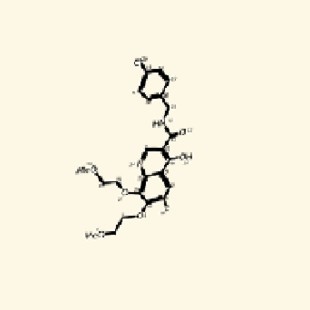 COCCOc1c(F)cc2c(O)c(C(=O)NCc3ccc(Cl)cc3)cnc2c1OCCOC